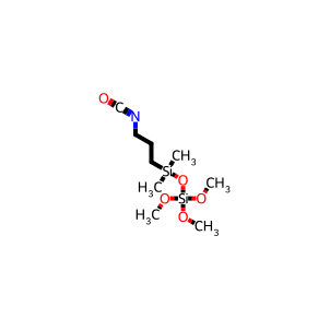 CO[Si](OC)(OC)O[Si](C)(C)CCCN=C=O